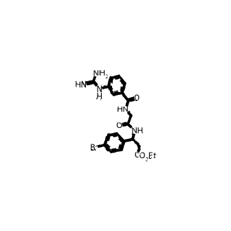 CCOC(=O)CC(NC(=O)CNC(=O)c1cccc(NC(=N)N)c1)c1ccc(Br)cc1